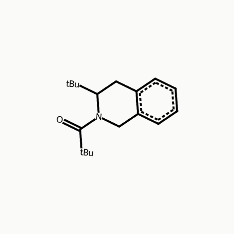 CC(C)(C)C(=O)N1Cc2ccccc2CC1C(C)(C)C